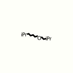 CC(C)CCCCCOCCC(C)C